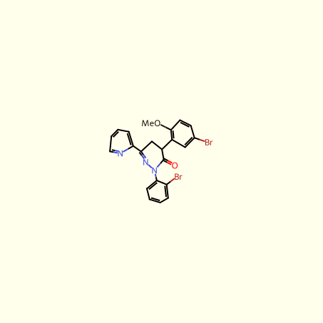 COc1ccc(Br)cc1C1CC(c2ccccn2)=NN(c2ccccc2Br)C1=O